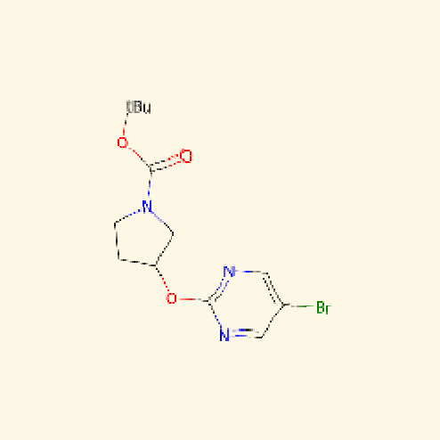 CC(C)(C)OC(=O)N1CCC(Oc2ncc(Br)cn2)C1